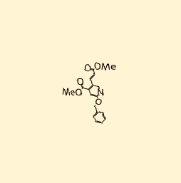 COC(=O)/C=C/c1cnc(OCc2ccccc2)cc1C(=O)OC